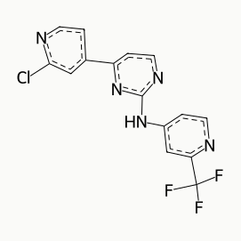 FC(F)(F)c1cc(Nc2nccc(-c3ccnc(Cl)c3)n2)ccn1